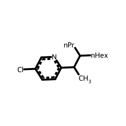 CCCCCCC(CCC)C(C)c1ccc(Cl)cn1